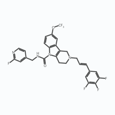 O=C(NCc1ccnc(F)c1)n1c2c(c3cc(OC(F)(F)F)ccc31)CN(CC=Cc1cc(F)c(F)c(F)c1)CC2